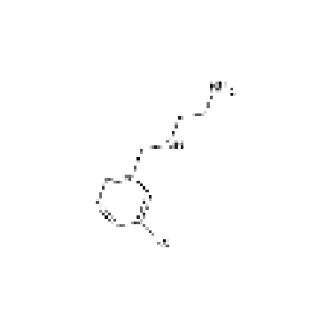 CCc1cccc(CNCCN)c1